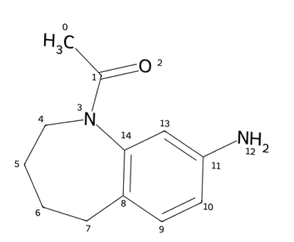 CC(=O)N1CCCCc2ccc(N)cc21